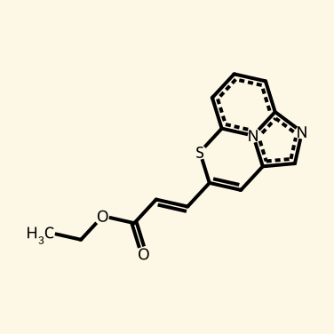 CCOC(=O)C=CC1=Cc2cnc3cccc(n23)S1